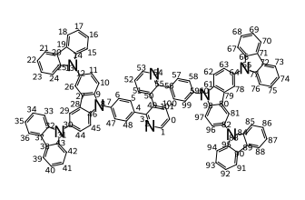 c1cnc(-c2ccc(-n3c4ccc(-n5c6ccccc6c6ccccc65)cc4c4cc(-n5c6ccccc6c6ccccc65)ccc43)cc2)c(-c2cccnc2-c2ccc(-n3c4ccc(-n5c6ccccc6c6ccccc65)cc4c4cc(-n5c6ccccc6c6ccccc65)ccc43)cc2)c1